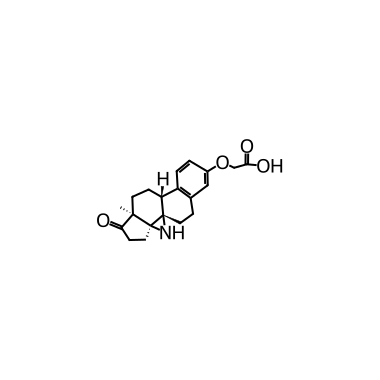 C[C@]12CC[C@@H]3c4ccc(OCC(=O)O)cc4CC[C@]34N[C@]41CCC2=O